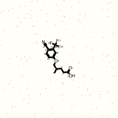 CC(CCC(=O)O)COc1ccc(C#N)c(C(F)(F)F)c1